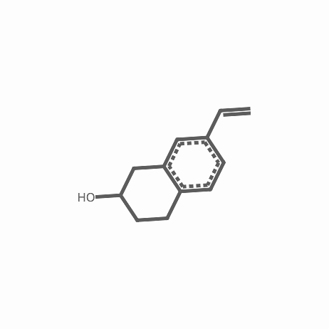 C=Cc1ccc2c(c1)CC(O)CC2